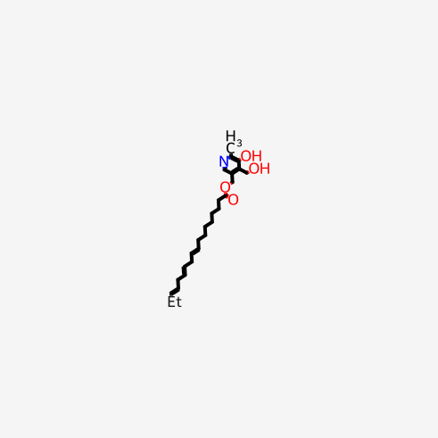 CC/C=C/C/C=C/C/C=C/CCCCCCCC(=O)OCc1cnc(C)c(O)c1CO